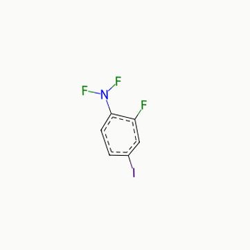 Fc1cc(I)ccc1N(F)F